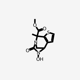 COC(=O)C1(C)c2sccc2C2CN1C(=O)N2O